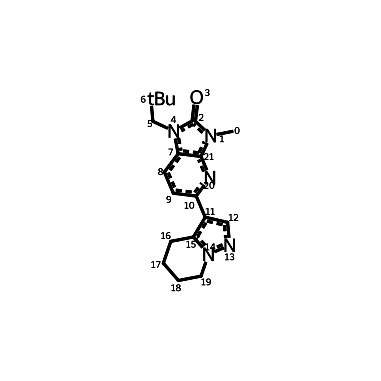 Cn1c(=O)n(CC(C)(C)C)c2ccc(-c3cnn4c3CCCC4)nc21